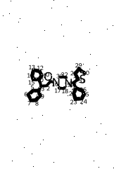 O=C(CC(c1ccccc1)c1ccccc1)N1CCN(C(c2ccccc2)c2cccs2)CC1